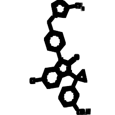 O=C(O)c1cccc(C2(n3c(=O)n(-c4ccc(Cn5cnc(C(F)(F)F)c5)cc4)c4cc(Cl)ccc43)CC2)c1